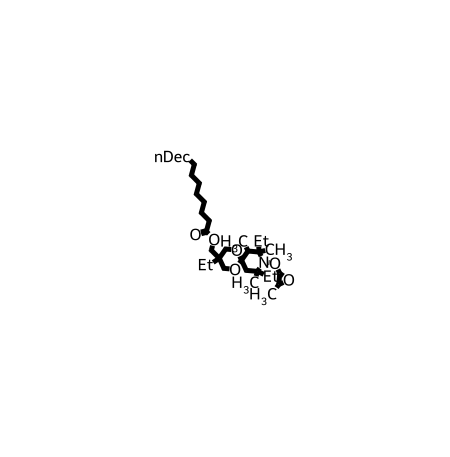 CCCCCCCCCCCCCCCCCC(=O)OCC1(CC)COC2(CC(C)(CC)N(OC3OC3C)C(C)(CC)C2C)OC1